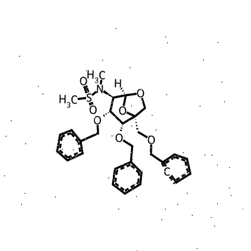 CN([C@H]1[C@H]2OC[C@](COCc3ccccc3)(O2)[C@H](OCc2ccccc2)[C@@H]1OCc1ccccc1)S(C)(=O)=O